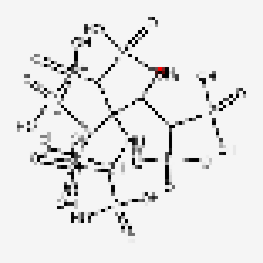 NC(C(P(=O)(O)O)P(=O)(O)O)C(NC(P(=O)(O)O)P(=O)(O)O)(C(P(=O)(O)O)P(=O)(O)O)C(P(=O)(O)O)P(=O)(O)O